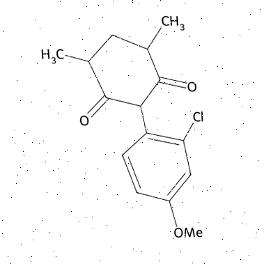 COc1ccc(C2C(=O)C(C)CC(C)C2=O)c(Cl)c1